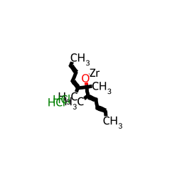 CC=CC=C(C)C(C)([O][Zr])C(C)=CC=CC.Cl.Cl